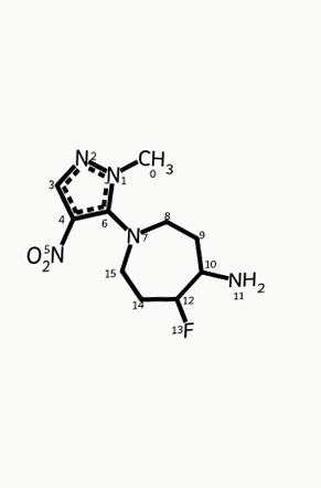 Cn1ncc([N+](=O)[O-])c1N1CCC(N)C(F)CC1